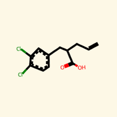 C=CCC(Cc1ccc(Cl)c(Cl)c1)C(=O)O